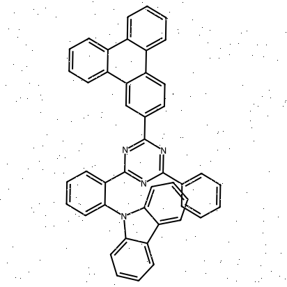 c1ccc(-c2nc(-c3ccc4c5ccccc5c5ccccc5c4c3)nc(-c3ccccc3-n3c4ccccc4c4ccccc43)n2)cc1